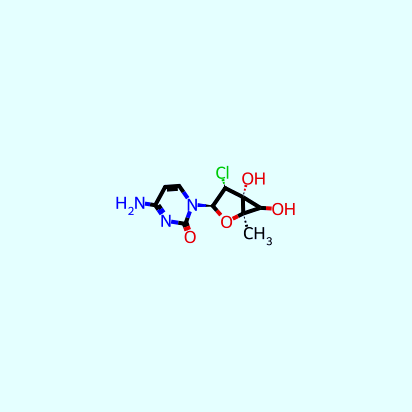 C[C@]12O[C@@H](n3ccc(N)nc3=O)[C@H](Cl)[C@@]1(O)C2O